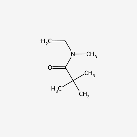 [CH2]CN(C)C(=O)C(C)(C)C